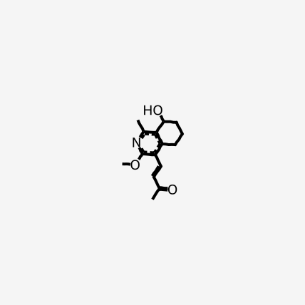 COc1nc(C)c2c(c1C=CC(C)=O)CCCC2O